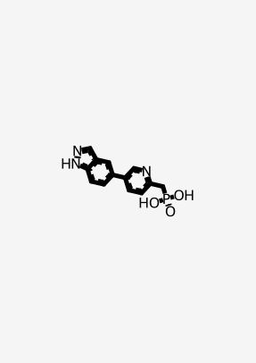 O=P(O)(O)Cc1ccc(-c2ccc3[nH]ncc3c2)cn1